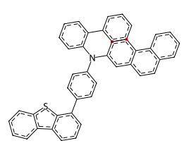 c1ccc(-c2ccccc2N(c2ccc(-c3cccc4c3sc3ccccc34)cc2)c2ccc3c(ccc4ccccc43)c2)cc1